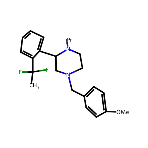 COc1ccc(CN2CCN(C(C)C)C(c3ccccc3C(C)(F)F)C2)cc1